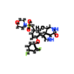 Cc1c[nH]c(=O)c2[nH]cc(-c3cc(CS(=O)(=O)N4CCOCC4)ccc3Oc3ccc(F)cc3F)c12